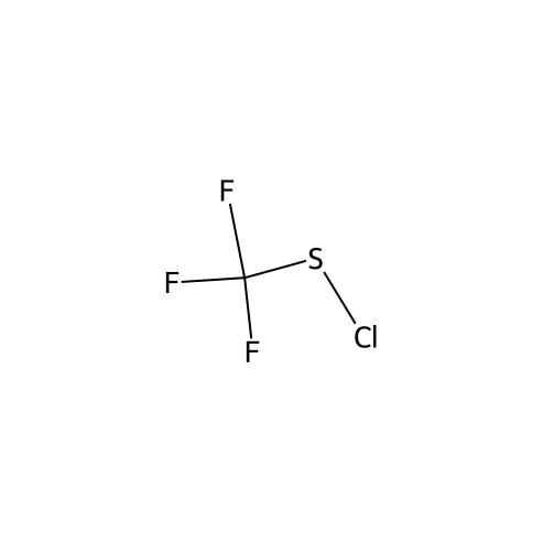 FC(F)(F)SCl